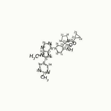 Cc1ncc(-c2nc3c(-c4ccc5c(c4)C4(CCCN4C(=O)C4CC4)C(=O)N5)ncnc3n2C)cn1